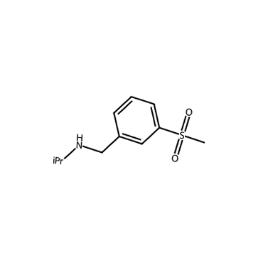 CC(C)NCc1cccc(S(C)(=O)=O)c1